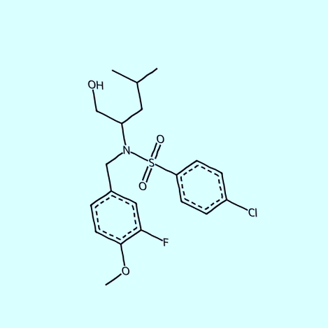 COc1ccc(CN(C(CO)CC(C)C)S(=O)(=O)c2ccc(Cl)cc2)cc1F